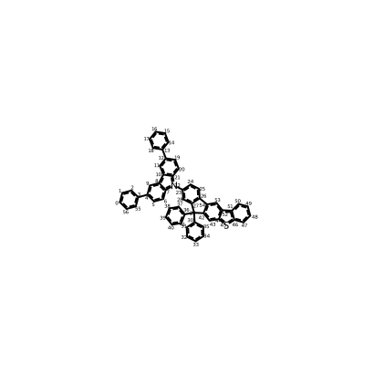 c1ccc(-c2ccc3c(c2)c2cc(-c4ccccc4)ccc2n3-c2ccc3c(c2)C(c2ccccc2)(c2ccccc2)c2cc4sc5ccccc5c4cc2-3)cc1